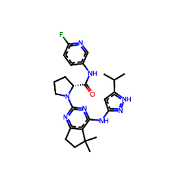 CC(C)c1cc(Nc2nc(N3CCC[C@@H]3C(=O)Nc3ccc(F)nc3)nc3c2C(C)(C)CC3)n[nH]1